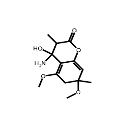 COC1=C2C(=CC(C)(OC)C1)OC(=O)C(C)C2(N)O